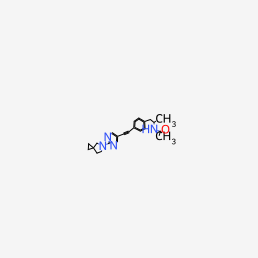 CC(=O)NC(C)Cc1ccc(C#Cc2cnc(N3CCC4(CC4)C3)nc2)cc1